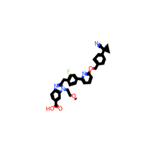 COCCn1c(Cc2ccc(-c3cccc(OCc4ccc(C5(C#N)CC5)cc4)n3)cc2F)nc2ccc(C(=O)O)cc21